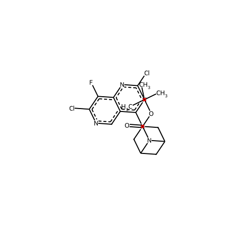 CC(C)(C)OC(=O)N1C2CC1CN(c1nc(Cl)nc3c(F)c(Cl)ncc13)C2